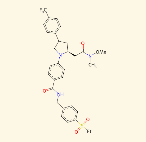 CCS(=O)(=O)c1ccc(CNC(=O)c2ccc(N3CC(c4ccc(C(F)(F)F)cc4)C[C@H]3CC(=O)N(C)OC)cc2)cc1